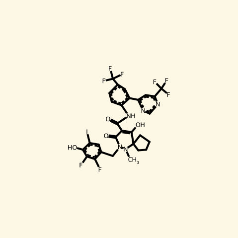 CN1N(Cc2cc(I)c(O)c(F)c2F)C(=O)C(C(=O)Nc2ccc(C(F)(F)F)cc2-c2cc(C(F)(F)F)ncn2)=C(O)C12CCCC2